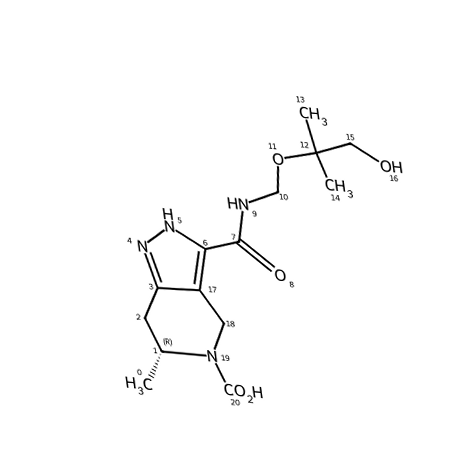 C[C@@H]1Cc2n[nH]c(C(=O)NCOC(C)(C)CO)c2CN1C(=O)O